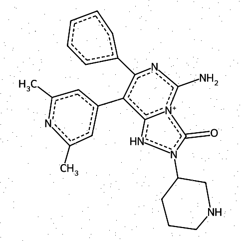 Cc1cc(-c2c(-c3ccccc3)nc(N)[n+]3c(=O)n(C4CCCNC4)[nH]c23)cc(C)n1